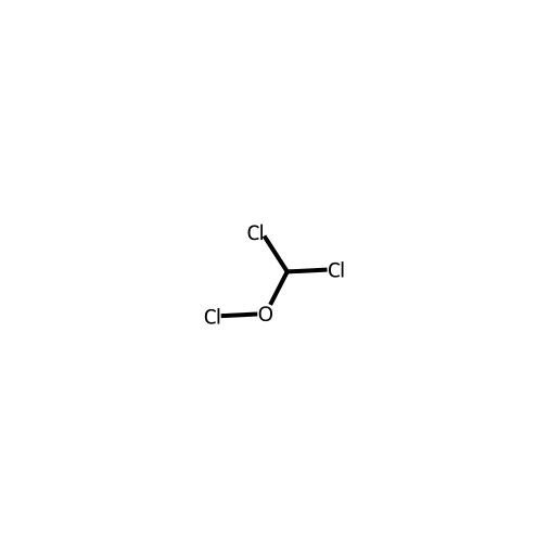 ClOC(Cl)Cl